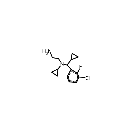 NCCN(C1CC1)C(c1cccc(Cl)c1F)C1CC1